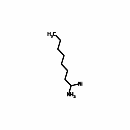 CCCCCCC[CH](N)[Ni]